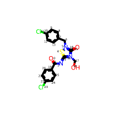 O=C(N=c1sn(Cc2ccc(Cl)cc2)c(=O)n1CO)c1ccc(Cl)cc1